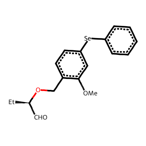 CC[C@H](C=O)OCc1ccc([Se]c2ccccc2)cc1OC